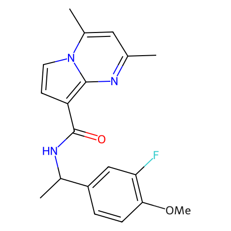 COc1ccc(C(C)NC(=O)c2ccn3c(C)cc(C)nc23)cc1F